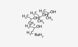 CC(C)O.CC(C)O.CC(C)O.CC(C)O.[BaH2]